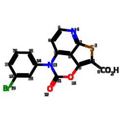 O=C(O)c1sc2nccc3c2c1OC(=O)N3c1cccc(Br)c1